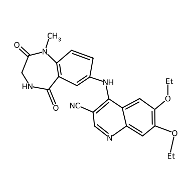 CCOc1cc2ncc(C#N)c(Nc3ccc4c(c3)C(=O)NCC(=O)N4C)c2cc1OCC